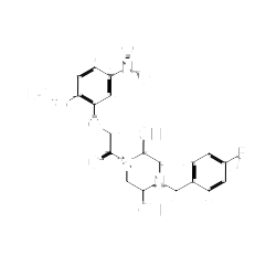 COc1ccc([N+](=O)[O-])cc1OCC(=O)N1CC(C)N(Cc2ccc(F)cc2)CC1C